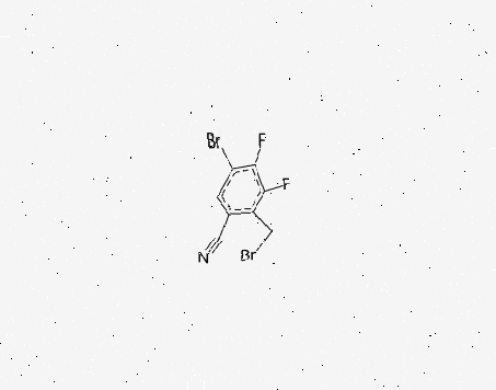 N#Cc1cc(Br)c(F)c(F)c1CBr